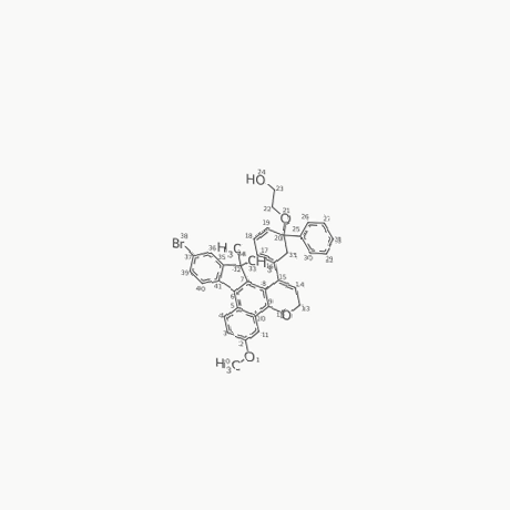 COc1ccc2c3c(c4c(c2c1)OCC=C4C1=CC=CC(OCCO)(c2ccccc2)C1)C(C)(C)c1cc(Br)ccc1-3